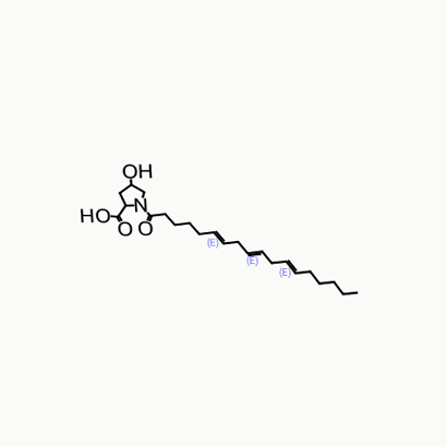 CCCCC/C=C/C/C=C/C/C=C/CCCCC(=O)N1CC(O)CC1C(=O)O